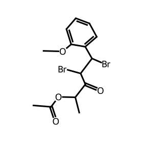 COc1ccccc1C(Br)C(Br)C(=O)C(C)OC(C)=O